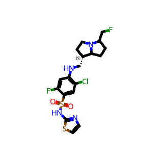 O=S(=O)(Nc1nccs1)c1cc(Cl)c(NC[C@@H]2CCN3C(CF)CCC23)cc1F